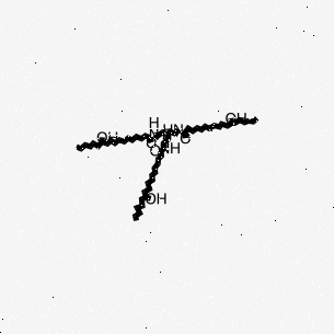 CCCCCCC(O)CCCCCCCCCCC(=O)NCCN(CCNC(=O)CCCCCCCCCCC(O)CCCCCC)CCNC(=O)CCCCCCCCCCC(O)CCCCCC